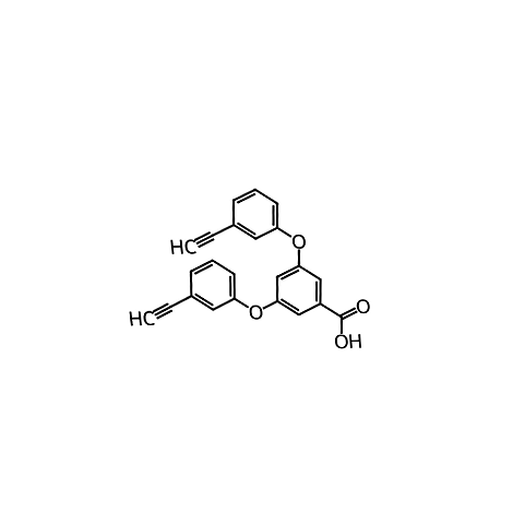 C#Cc1cccc(Oc2cc(Oc3cccc(C#C)c3)cc(C(=O)O)c2)c1